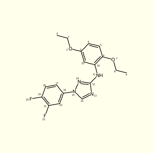 CCOc1ccc(OCC)c(Nc2ncn(-c3ccc(F)c(F)c3)n2)c1